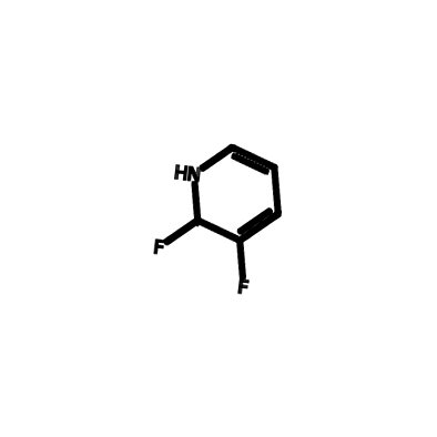 F[C]1NC=CC=C1F